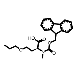 CCCOCC[C@@H](C(=O)O)N(C)C(=O)OCC1c2ccccc2-c2ccccc21